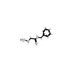 CO[CH]C(=O)OCc1ccccc1